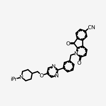 CC(C)N1CCC(COc2cnc(-c3cccc(Cn4c5c(ccc4=O)-c4cc(C#N)ccc4C5=O)c3)nc2)CC1